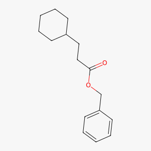 O=C(CCC1CCCCC1)OCc1ccccc1